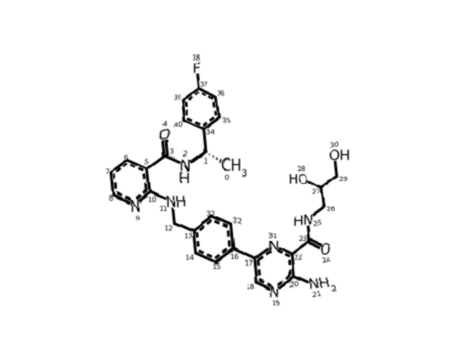 C[C@H](NC(=O)c1cccnc1NCc1ccc(-c2cnc(N)c(C(=O)NCC(O)CO)n2)cc1)c1ccc(F)cc1